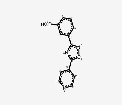 O=C(O)c1cccc(-c2noc(-c3ccncc3)n2)c1